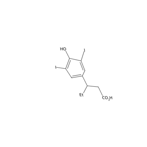 CCC(CC(=O)O)c1cc(I)c(O)c(I)c1